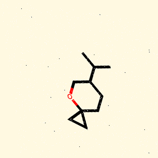 CC(C)C1CCC2(CC2)OC1